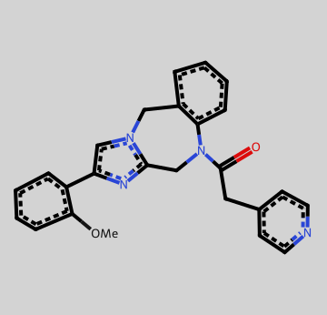 COc1ccccc1-c1cn2c(n1)CN(C(=O)Cc1ccncc1)c1ccccc1C2